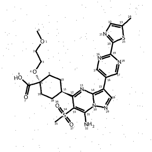 COCCO[C@]1(C(=O)O)CC[C@@H](c2nc3c(-c4cnc(-c5ncc(C)s5)nc4)cnn3c(N)c2S(C)(=O)=O)CC1